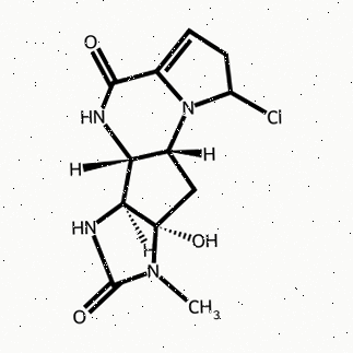 CN1C(=O)N[C@H]2[C@@H]3NC(=O)C4=CCC(Cl)N4[C@@H]3C[C@]21O